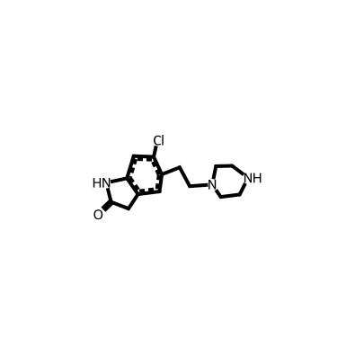 O=C1Cc2cc(CCN3CCNCC3)c(Cl)cc2N1